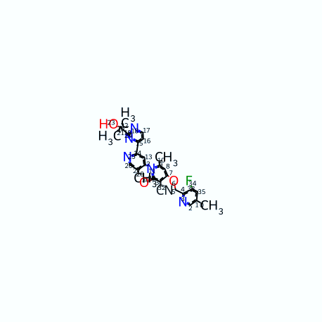 Cc1cnc(COc2cc(C)n(-c3cc(-c4ccnc(C(C)(C)O)n4)ncc3C)c(=O)c2C#N)c(F)c1